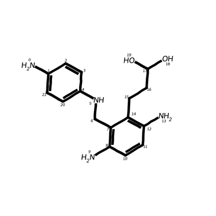 Nc1ccc(NCc2c(N)ccc(N)c2CCC(O)O)cc1